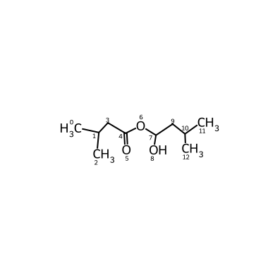 CC(C)CC(=O)OC(O)CC(C)C